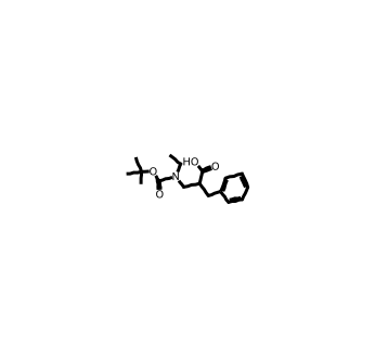 CCN(CC(Cc1ccccc1)C(=O)O)C(=O)OC(C)(C)C